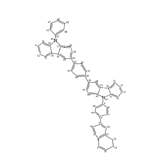 C1=Cc2ccc(-c3ccc(-n4c5ccccc5c5cc(-c6ccc(-c7ccc8c(c7)c7ccccc7n8-c7ccccc7)cc6)ccc54)cc3)cc2CC1